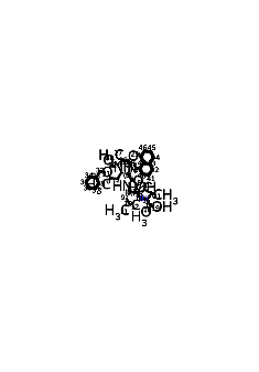 CCCC[C@@H](C(=O)N[C@@H](CC(C)C)[C@@H](O)/C=C(/C(=O)O)C(C)C)N(C(=O)[C@H](C)NC(=O)OCc1ccccc1)c1cccc2ccccc12